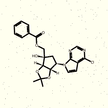 CC1(C)O[C@H]2[C@H](n3ccc4c(Cl)ncnc43)C[C@@](O)(COC(=O)c3ccccc3)[C@H]2O1